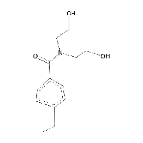 CCc1ccc(C(=O)N(CCO)CCO)cc1